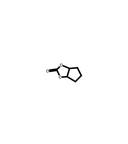 O=C1OC2CCCC2O1